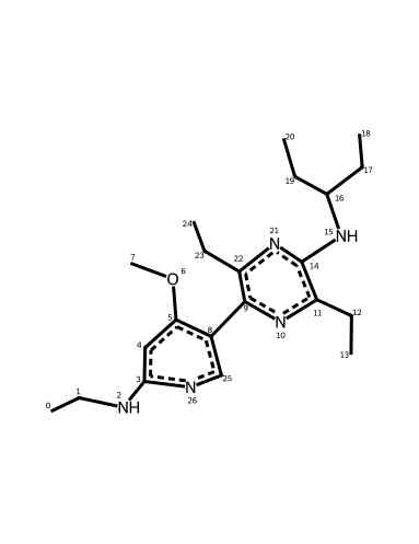 CCNc1cc(OC)c(-c2nc(CC)c(NC(CC)CC)nc2CC)cn1